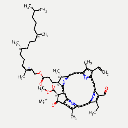 C=Cc1c(C)c2cc3nc(c4c5[n-]c(cc6nc(cc1[n-]2)C(C=O)=C6CC)c(C)c5C(=O)[C@H]4C(=O)OC)[C@@H](CCC(=O)OC/C=C(\C)CCC[C@H](C)CCC[C@H](C)CCCC(C)C)[C@@H]3C.[Mg+2]